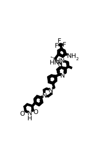 CC1=CNN(N[C@H](C)c2cc(N)cc(C(F)(F)F)c2)c2cc(-c3cccc(CN4CCN(c5ccc(C6CCC(=O)NC6=O)cc5)CC4)c3)ncc21